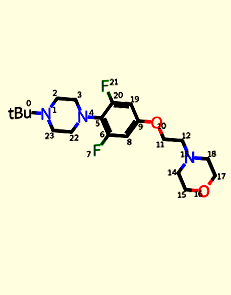 CC(C)(C)N1CCN(c2c(F)cc(OCCN3CCOCC3)cc2F)CC1